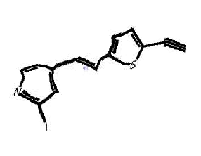 C#Cc1ccc(/C=C/c2ccnc(I)c2)s1